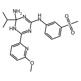 COc1cccc(C2=NC(Nc3cccc(S(C)(=O)=O)c3)=NC(N)(C(C)C)N2)n1